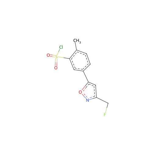 Cc1ccc(-c2cc(CF)no2)cc1S(=O)(=O)Cl